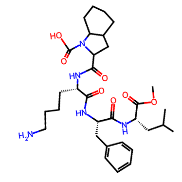 COC(=O)[C@H](CC(C)C)NC(=O)[C@H](Cc1ccccc1)NC(=O)[C@H](CCCCN)NC(=O)C1CC2CCCCC2N1C(=O)O